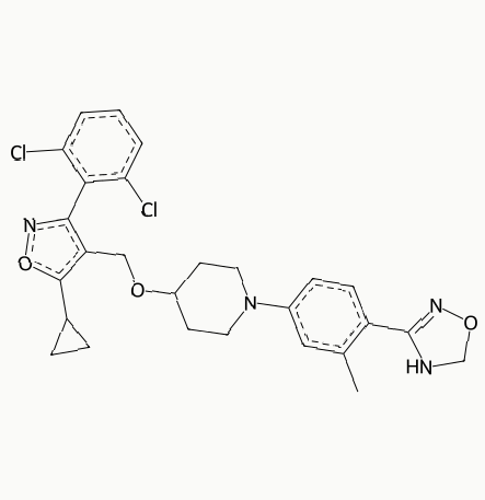 Cc1cc(N2CCC(OCc3c(-c4c(Cl)cccc4Cl)noc3C3CC3)CC2)ccc1C1=NOCN1